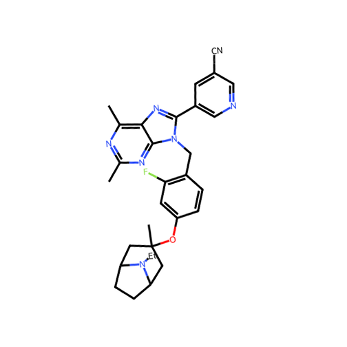 CCN1C2CCC1CC(C)(Oc1ccc(Cn3c(-c4cncc(C#N)c4)nc4c(C)nc(C)nc43)c(F)c1)C2